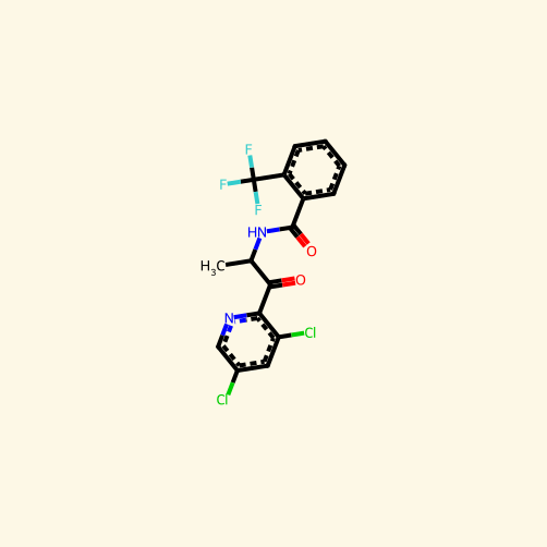 CC(NC(=O)c1ccccc1C(F)(F)F)C(=O)c1ncc(Cl)cc1Cl